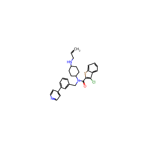 C=CCNC1CCC(N(Cc2cccc(-c3ccncc3)c2)C(=O)c2sc3ccccc3c2Cl)CC1